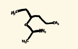 C=CC(CCC)OC(C)N